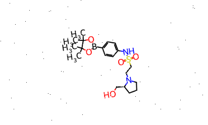 CC1(C)OB(c2ccc(NS(=O)(=O)CCN3CCC[C@H]3CO)cc2)OC1(C)C